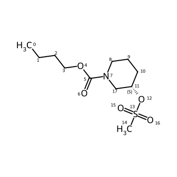 CCCCOC(=O)N1CCC[C@H](OS(C)(=O)=O)C1